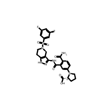 NC(=O)c1ccc(N2CCC[C@@H]2C(=O)O)cc1C(=O)Nc1n[nH]c2c1CN(S(=O)(=O)c1cc(F)cc(F)c1)CC2